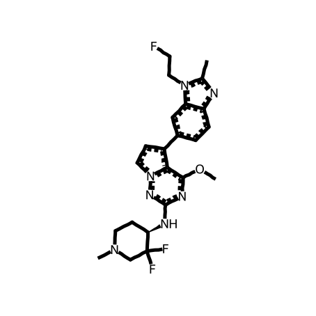 COc1nc(N[C@@H]2CCN(C)CC2(F)F)nn2ccc(-c3ccc4nc(C)n(CCF)c4c3)c12